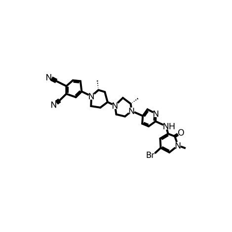 C[C@@H]1CC(N2CCN(c3ccc(Nc4cc(Br)cn(C)c4=O)nc3)[C@@H](C)C2)CCN1c1ccc(C#N)c(C#N)c1